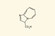 O=C(O)C1C=NC2=CC=CC=CN21